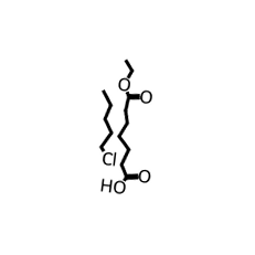 CCCCCCl.CCOC(=O)CCCCCC(=O)O